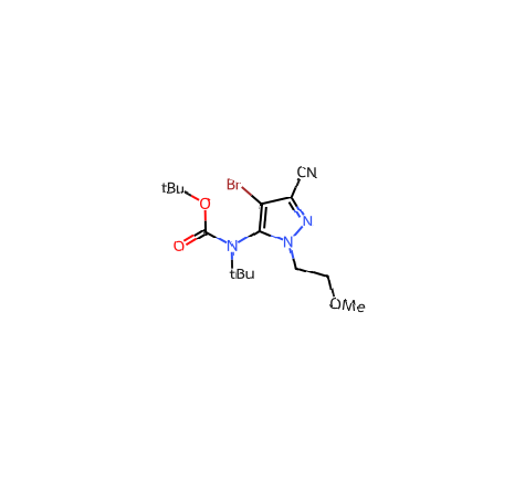 COCCn1nc(C#N)c(Br)c1N(C(=O)OC(C)(C)C)C(C)(C)C